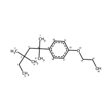 CCC(C)(C)CC(C)(C)c1ccc(OCCO)cc1